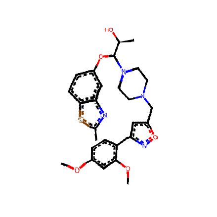 COc1ccc(-c2cc(CN3CCN(C(Oc4ccc5sc(C)nc5c4)[C@H](C)O)CC3)on2)c(OC)c1